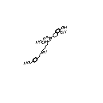 CCCN(CCCCCCNCCc1ccc(CO)cc1)[C@H]1CCc2c(ccc(O)c2O)C1.Cl.Cl